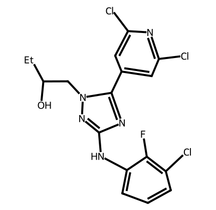 CCC(O)Cn1nc(Nc2cccc(Cl)c2F)nc1-c1cc(Cl)nc(Cl)c1